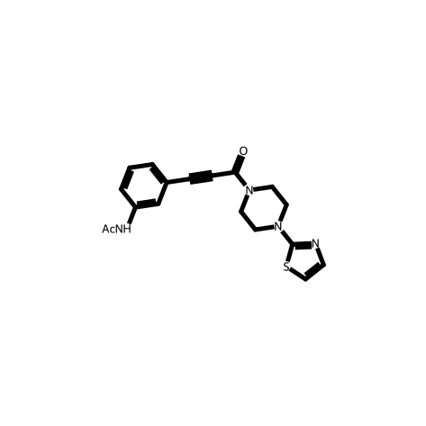 CC(=O)Nc1cccc(C#CC(=O)N2CCN(c3nccs3)CC2)c1